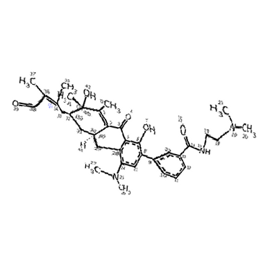 CC1=C2C(=O)c3c(O)c(-c4cccc(C(=O)NCCN(C)C)c4)cc(N(C)C)c3C[C@H]2C[C@@H](C/C(C)=C(/C)C=O)[C@]1(C)O